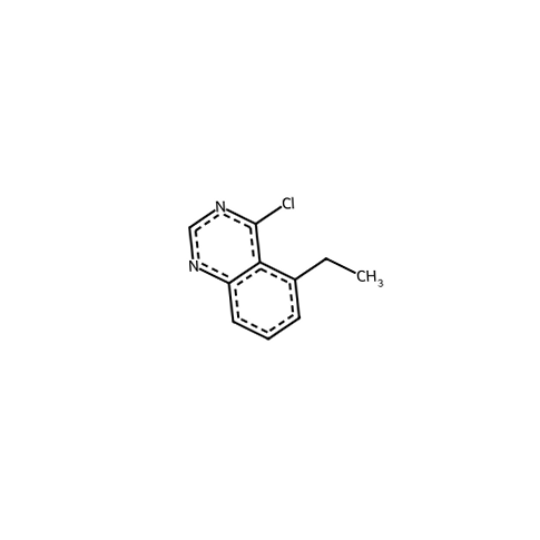 CCc1cccc2ncnc(Cl)c12